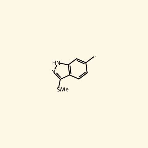 [CH2]c1ccc2c(SC)n[nH]c2c1